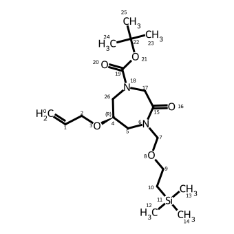 C=CCO[C@@H]1CN(COCC[Si](C)(C)C)C(=O)CN(C(=O)OC(C)(C)C)C1